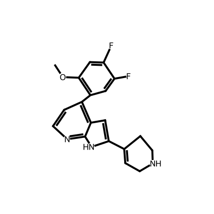 COc1cc(F)c(F)cc1-c1ccnc2[nH]c(C3=CCNCC3)cc12